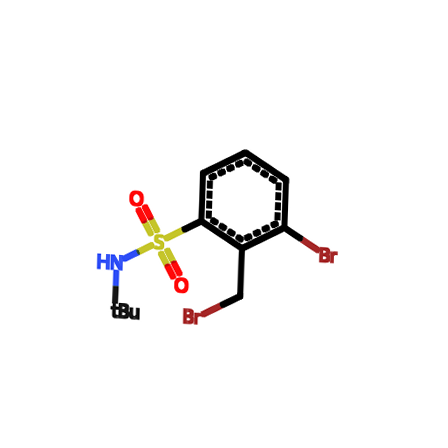 CC(C)(C)NS(=O)(=O)c1cccc(Br)c1CBr